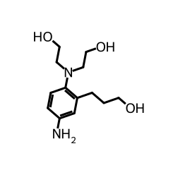 Nc1ccc(N(CCO)CCO)c(CCCO)c1